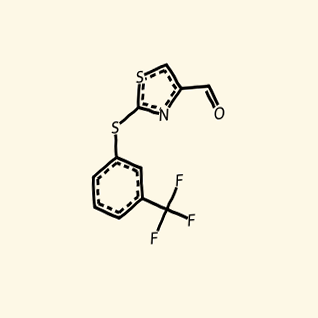 O=Cc1csc(Sc2cccc(C(F)(F)F)c2)n1